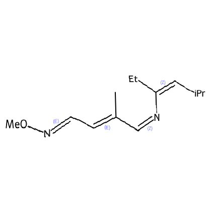 CCC(=C/C(C)C)/N=C\C(C)=C\C=N\OC